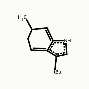 CC1C=c2[nH]cc(C(C)(C)C)c2=CC1